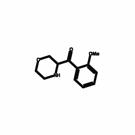 COc1ccccc1C(=O)C1COCCN1